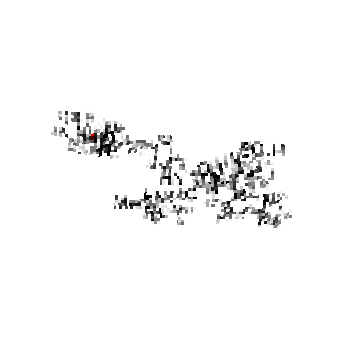 COC(=O)NC(C(=O)NC(Cc1ccc(C#Cc2cnc(N3CC4CCC(C3)N4C3COC3)nc2)cc1)C(O)CN(Cc1c(F)cc(-c2ncccn2)cc1F)NC(=O)C(NC(=O)O)C(C)(C)C(F)(F)F)C(C)(C)C(F)(F)F